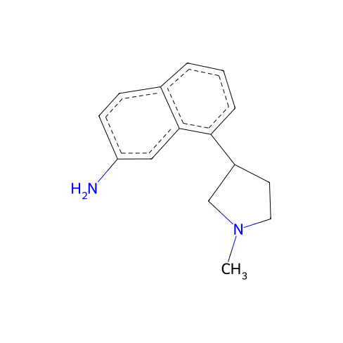 CN1CCC(c2cccc3ccc(N)cc23)C1